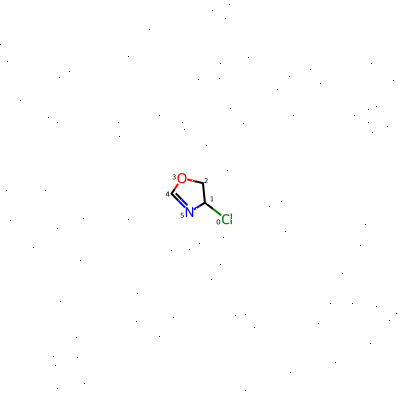 ClC1COC=N1